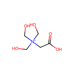 O=C(O)C[N+](CO)(CO)CO